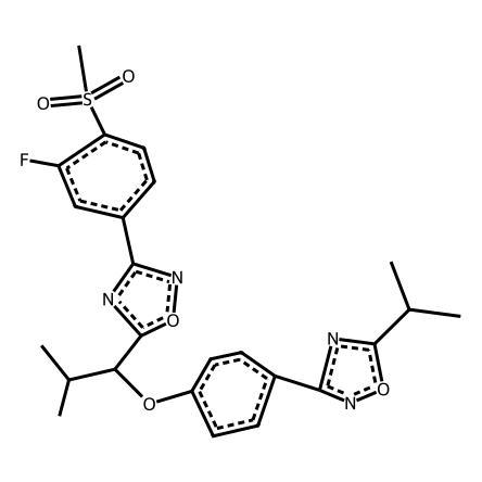 CC(C)c1nc(-c2ccc(OC(c3nc(-c4ccc(S(C)(=O)=O)c(F)c4)no3)C(C)C)cc2)no1